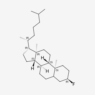 CC(C)CCC[C@@H](C)[C@H]1CC[C@H]2[C@@H]3CCC4C[C@H](F)CC[C@]4(C)[C@H]3CC[C@]12C